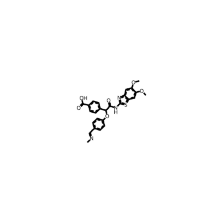 C/N=C/c1ccc(OC(C(=O)Nc2nc3cc(OC)c(OC)cc3s2)c2ccc(C(=O)O)cc2)cc1